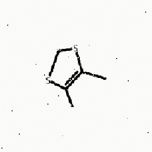 CC1=C(C)S[C]S1